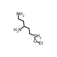 CCO[SiH2]CCC(N)CCN